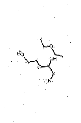 CCOCC.NCC(O)OCCO